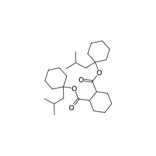 CC(C)CC1(OC(=O)C2CCCCC2C(=O)OC2(CC(C)C)CCCCC2)CCCCC1